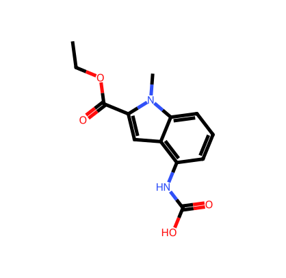 CCOC(=O)c1cc2c(NC(=O)O)cccc2n1C